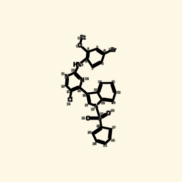 CCOc1cc(Br)ccc1Nc1ncc(Cl)c(-c2cn(S(=O)(=O)c3ccccc3)c3ccccc23)n1